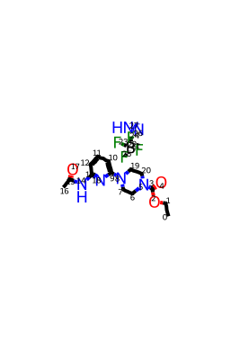 CCOC(=O)N1CCN(c2cccc(NC(C)=O)n2)CC1.F[B-](F)(F)F.N#[NH+]